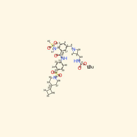 CN(c1ccc(CN2CC(CNC(=O)OC(C)(C)C)C2)cc1C(=O)Nc1ccc(S(=O)(=O)N2CCC(C3CCC3)CC2)cc1)S(C)(=O)=O